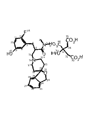 CN(C)C(=O)C(Cc1cc(O)ccc1F)CN1CCC2(CC1)OCc1ccccc12.O=C(O)CC(O)(CC(=O)O)C(=O)O